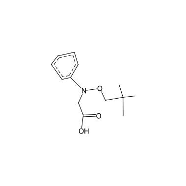 CC(C)(C)CON(CC(=O)O)c1ccccc1